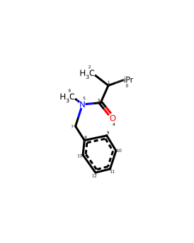 CC(C)C(C)C(=O)N(C)Cc1ccccc1